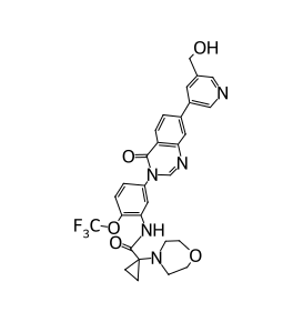 O=C(Nc1cc(-n2cnc3cc(-c4cncc(CO)c4)ccc3c2=O)ccc1OC(F)(F)F)C1(N2CCOCC2)CC1